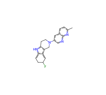 Cc1ccc2cc(N3CCc4[nH]c5c(c4C3)=CC(F)CC=5)cnc2n1